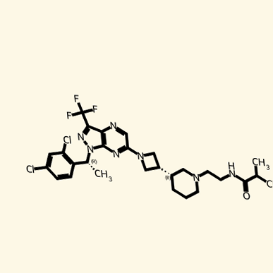 CC(C)C(=O)NCCN1CCC[C@H](C2CN(c3cnc4c(C(F)(F)F)nn([C@H](C)c5ccc(Cl)cc5Cl)c4n3)C2)C1